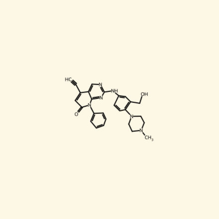 C#Cc1cc(=O)n(-c2ccccc2)c2nc(Nc3ccc(N4CCN(C)CC4)c(CO)c3)ncc12